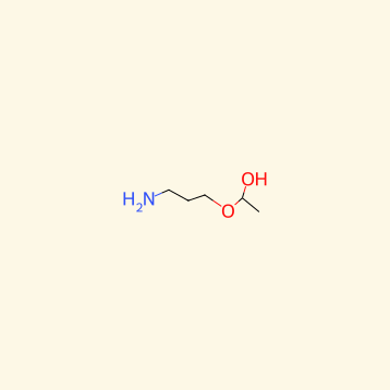 CC(O)OCCCN